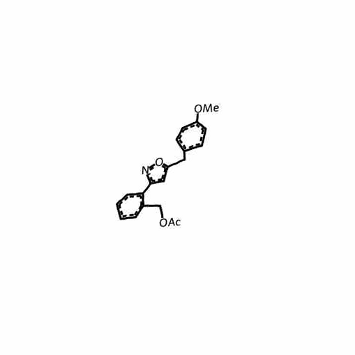 COc1ccc(Cc2cc(-c3ccccc3COC(C)=O)no2)cc1